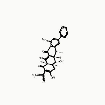 C[C@H]1c2cc(-c3ccccc3)cc(O)c2C(=O)C2=C(O)[C@]3(O)C(=O)C(C(N)=O)=C(O)C[C@@H]3[C@@H](O)[C@@H]21